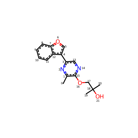 Cc1nc(-c2coc3ccccc23)cnc1OCC(C)(C)O